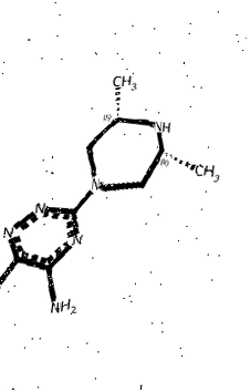 C[C@@H]1CN(c2nnc(Cl)c(N)n2)C[C@H](C)N1